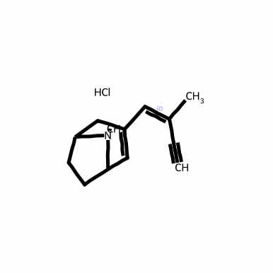 C#C/C(C)=C\C1=CC2CCC(C1)N2C.Cl